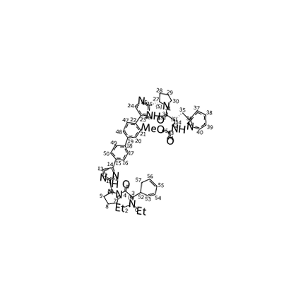 CCN(CC)[C@@H](C(=O)N1CCC[C@H]1c1ncc(-c2ccc(-c3ccc(-c4cnc([C@@H]5CCCN5C(=O)[C@H](Cc5ccccn5)NC(=O)OC)[nH]4)cc3)cc2)[nH]1)C1C=CC=CC1